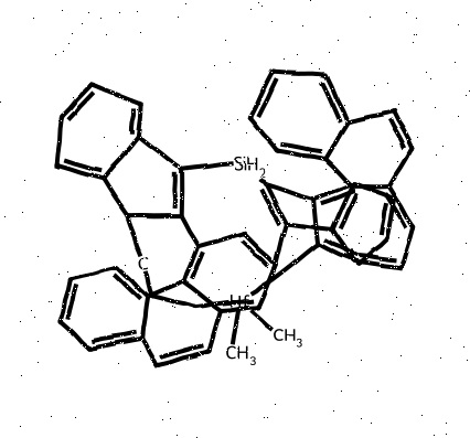 [CH3][Hf]1([CH3])[CH2]CCC2C(c3cccc4ccc5ccccc5c34)=C([SiH2]C3=C(c4cccc5ccc6ccccc6c45)[CH]1c1ccccc13)c1ccccc12